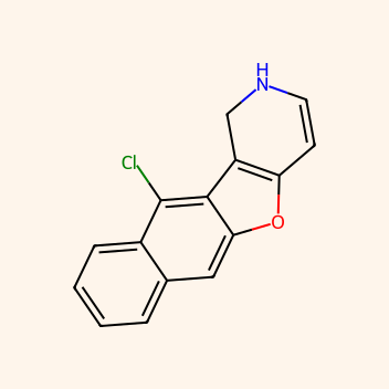 Clc1c2ccccc2cc2oc3c(c12)CNC=C3